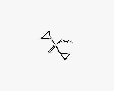 COP(=O)(N1CC1)N1CC1